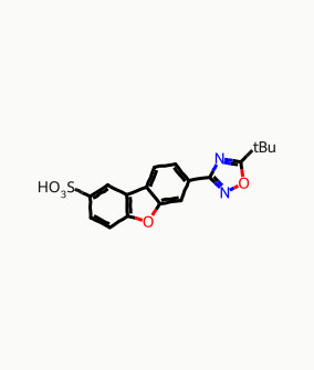 CC(C)(C)c1nc(-c2ccc3c(c2)oc2ccc(S(=O)(=O)O)cc23)no1